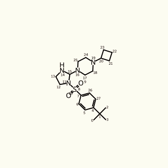 CC(C)(C)c1ccc(S(=O)(=O)N2CCNC2N2CCN(C3CCC3)CC2)cc1